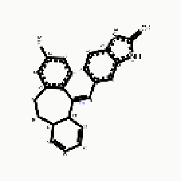 O=c1[nH]c2cc(/C=C3\c4ccc(F)cc4CCC4C=CC=CC34)ccc2s1